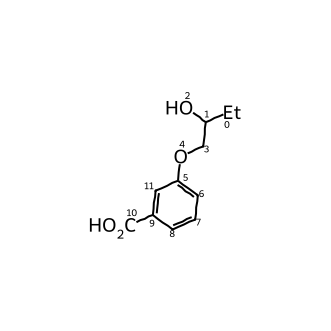 CCC(O)COc1cccc(C(=O)O)c1